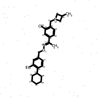 CCc1cc(CO/N=C(\C)c2ccc(CN3CC(C)C3)c(Cl)c2)ccc1C1CCCCC1